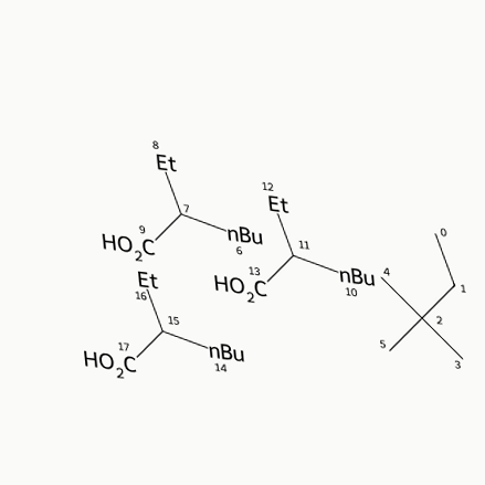 CCC(C)(C)C.CCCCC(CC)C(=O)O.CCCCC(CC)C(=O)O.CCCCC(CC)C(=O)O